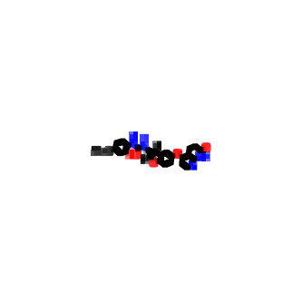 COc1ccc(NC(O)N[C@@H]2[C@H]3Oc4ccc(Oc5ccnc6c5CCC(=O)N6)cc4[C@@H]23)cc1